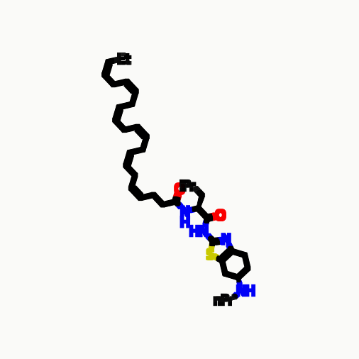 CC/C=C\C/C=C\C/C=C\C/C=C\C/C=C\C/C=C\CCC(=O)N[C@@H](CC(C)C)C(=O)Nc1nc2c(s1)C[C@H](NCCC)CC2